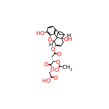 CC(=O)O[C@@H](CC(=O)OC1=CC[C@@]2(O)[C@@H]3CCC[C@@]24c2c(ccc(O)c2O[C@@H]14)C3)C(=O)OCC(=O)O